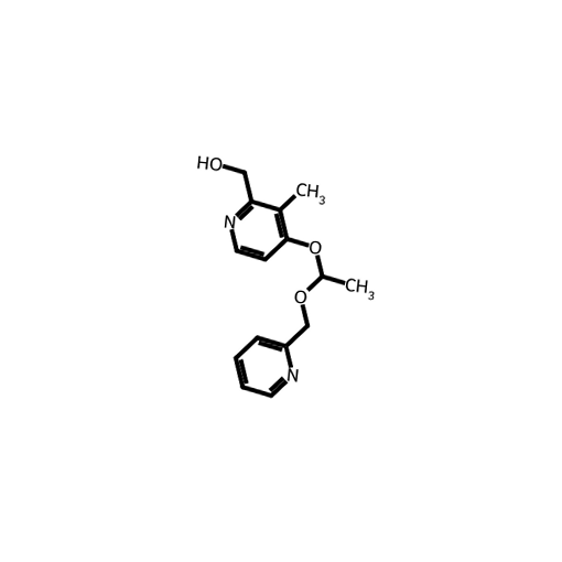 Cc1c(OC(C)OCc2ccccn2)ccnc1CO